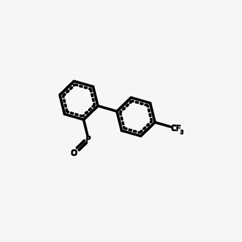 O=Pc1ccccc1-c1ccc(C(F)(F)F)cc1